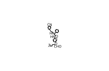 CN(C)CCC(C=O)Oc1ccc(NC(=O)C(NCCc2ccc(C#N)cc2)c2ccccc2)nc1